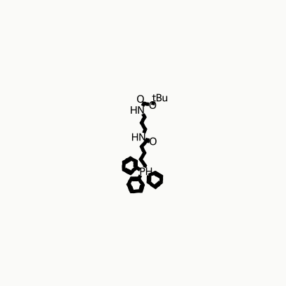 CC(C)(C)OC(=O)NCCCNC(=O)CCCC[PH](c1ccccc1)(c1ccccc1)c1ccccc1